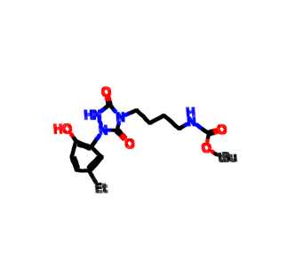 CCc1ccc(O)c(-n2[nH]c(=O)n(CCCCNC(=O)OC(C)(C)C)c2=O)c1